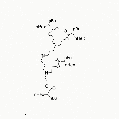 CCCCCCC(CCCC)C(=O)OCCN(CCCN(C)CCCN(CCOC(=O)C(CCCC)CCCCCC)CCOC(=O)C(CCCC)CCCCCC)CCOC(=O)C(CCCC)CCCCCC